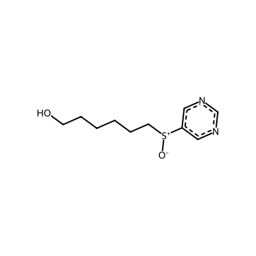 [O-][S+](CCCCCCO)c1cncnc1